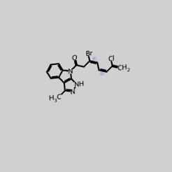 C=C(Cl)/C=C\C=C(\Br)CC(=O)n1c2ccccc2c2c(C)n[nH]c21